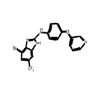 FC(F)(F)c1cc(Br)c2nc(Nc3ccc(Oc4cccnc4)cc3)[nH]c2c1